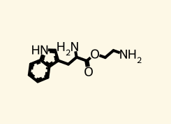 NCCOC(=O)C(N)Cc1c[nH]c2ccccc12